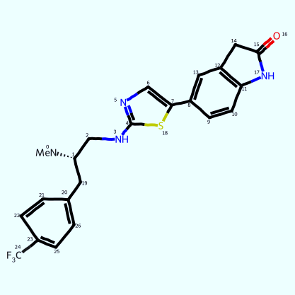 CN[C@H](CNc1ncc(-c2ccc3c(c2)CC(=O)N3)s1)Cc1ccc(C(F)(F)F)cc1